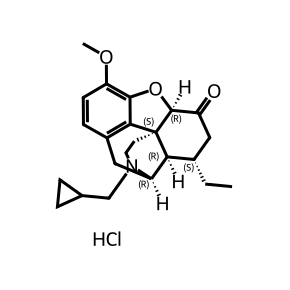 CC[C@H]1CC(=O)[C@@H]2Oc3c(OC)ccc4c3[C@@]23CCN(CC2CC2)[C@H](C4)[C@H]13.Cl